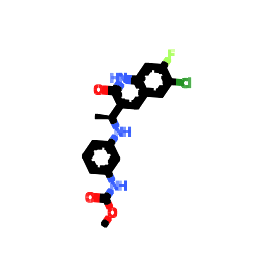 COC(=O)Nc1cccc(N[C@@H](C)c2cc3cc(Cl)c(F)cc3[nH]c2=O)c1